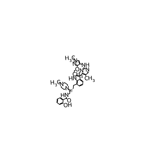 CCOc1nn(C)cc1Nc1ncc(C)c(-c2c[nH]c3c(CC[C@H](CNC(=O)c4ccccc4O)N4CCN(C)CC4)cccc23)n1